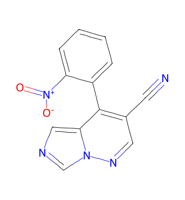 N#Cc1cnn2cncc2c1-c1ccccc1[N+](=O)[O-]